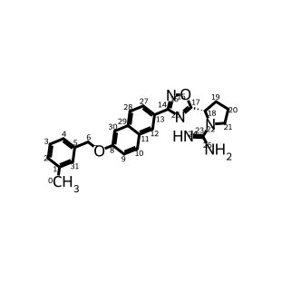 Cc1cccc(COc2ccc3cc(-c4noc([C@@H]5CCCN5C(=N)N)n4)ccc3c2)c1